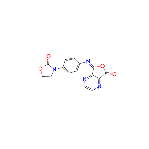 O=C1O/C(=N/c2ccc(N3CCOC3=O)cc2)c2nccnc21